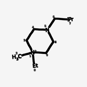 CC[N+]1(C)CCN(CC(C)C)CC1